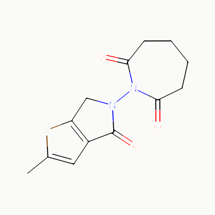 Cc1cc2c(s1)CN(N1C(=O)CCCCC1=O)C2=O